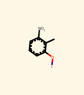 Cc1c(OI)cccc1[N+](=O)[O-]